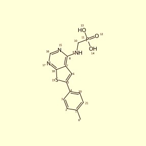 Cc1ccc(-c2cc3c(NCP(=O)(O)O)ncnc3s2)cc1